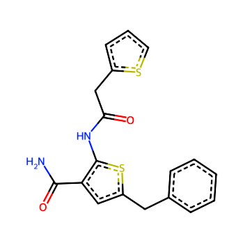 NC(=O)c1cc(Cc2ccccc2)sc1NC(=O)Cc1cccs1